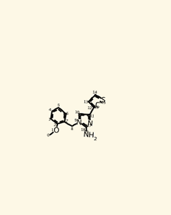 COc1ccccc1Cn1cc(-c2ccsc2)nc1N